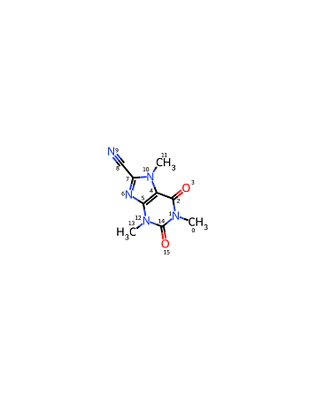 Cn1c(=O)c2c(nc(C#N)n2C)n(C)c1=O